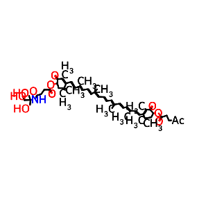 CC(=O)CCC(=O)OC1CC(C)(C)C(/C=C/C(C)=C/C=C/C(C)=C/C=C/C=C(C)/C=C/C=C(C)/C=C/C2=C(C)C(=O)C(OC(=O)CCC(=O)NC(CO)(CO)CO)CC2(C)C)=C(C)C1=O